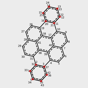 c1ccc(-c2ccc3ccc(-c4ccccc4)c4c5c(-c6ccccc6)ccc6ccc(-c7ccccc7)c(c2c34)c65)cc1